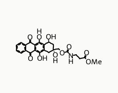 COC(=O)CCNC(=O)OC[C@@]1(O)Cc2c(O)c3c(c(O)c2[C@@H](O)C1)C(=O)c1ccccc1C3=O